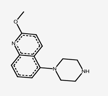 COc1ccc2c(N3CCNCC3)cccc2n1